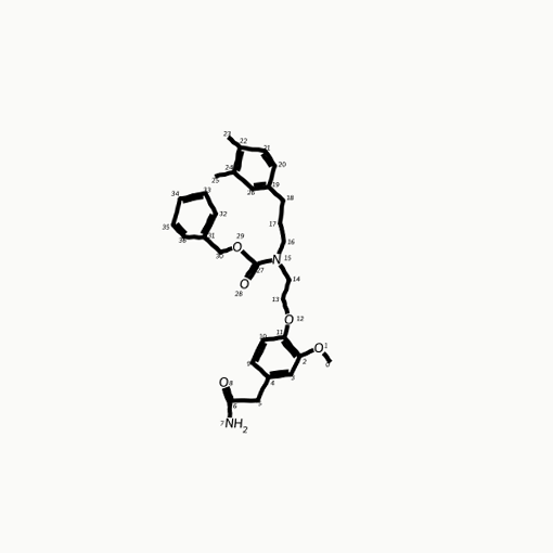 COc1cc(CC(N)=O)ccc1OCCN(CCCc1ccc(C)c(C)c1)C(=O)OCc1ccccc1